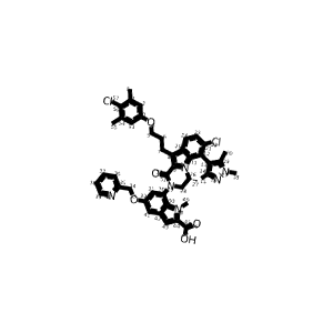 Cc1cc(OCCCc2c3n(c4c(-c5c(C)nn(C)c5C)c(Cl)ccc24)[C@H](C)CN(c2cc(OCc4ccccn4)cc4cc(C(=O)O)n(C)c24)C3=O)cc(C)c1Cl